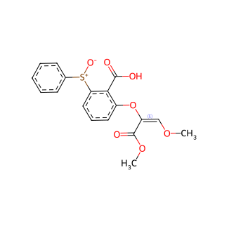 CO/C=C(/Oc1cccc([S+]([O-])c2ccccc2)c1C(=O)O)C(=O)OC